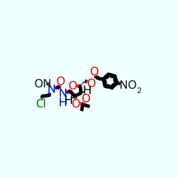 CC1(C)O[C@@H]2[C@@H](COC(=O)c3ccc([N+](=O)[O-])cc3)OC(NC(=O)N(CCCl)N=O)[C@@H]2O1